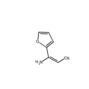 N#C/C=C(/N)c1ccco1